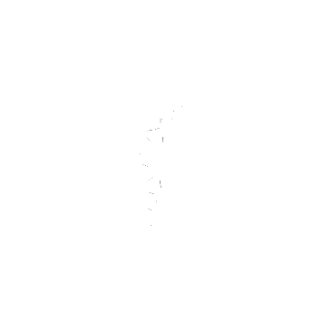 O=C(Nc1ccc(-c2cnc(-c3ccc(NC(=O)N4CCCN4)cc3)o2)cc1)N1CCCN1